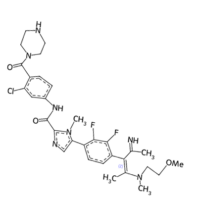 COCCN(C)/C(C)=C(\C(C)=N)c1ccc(-c2cnc(C(=O)Nc3ccc(C(=O)N4CCNCC4)c(Cl)c3)n2C)c(F)c1F